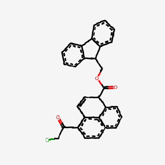 O=C(CCl)c1ccc2cccc3c2c1C=CC3C(=O)OCC1c2ccccc2-c2ccccc21